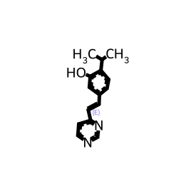 CC(C)c1ccc(/C=C/c2ccncn2)cc1O